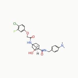 CN(C)c1ccc(CNC(=O)C23CCC(NC(=O)COc4ccc(Cl)c(F)c4)(CC2)C[C@@H]3O)cc1